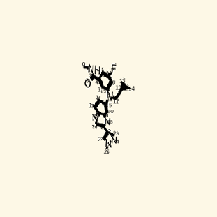 CNC(=O)c1cc(F)cc(N(CC2CC2)c2ccc3ncc(-c4cnn(C)c4)nc3c2)c1